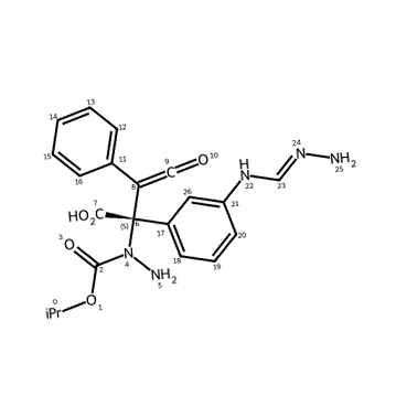 CC(C)OC(=O)N(N)[C@](C(=O)O)(C(=C=O)c1ccccc1)c1cccc(NC=NN)c1